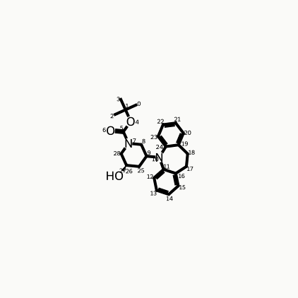 CC(C)(C)OC(=O)N1CC(N2c3ccccc3CCc3ccccc32)C[C@@H](O)C1